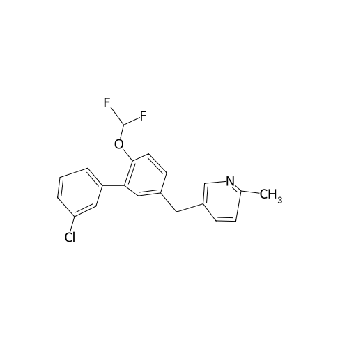 Cc1ccc(Cc2ccc(OC(F)F)c(-c3cccc(Cl)c3)c2)cn1